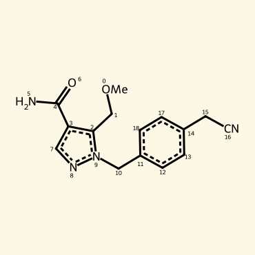 COCc1c(C(N)=O)cnn1Cc1ccc(CC#N)cc1